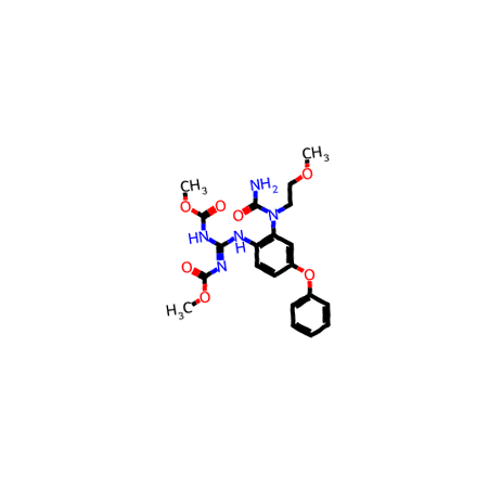 COCCN(C(N)=O)c1cc(Oc2ccccc2)ccc1NC(=NC(=O)OC)NC(=O)OC